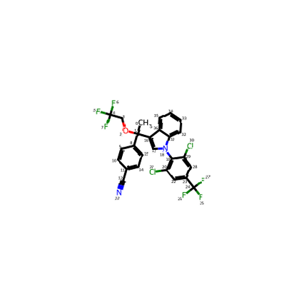 CC(OCC(F)(F)F)(c1ccc(C#N)cc1)c1cn(-c2c(Cl)cc(C(F)(F)F)cc2Cl)c2ccccc12